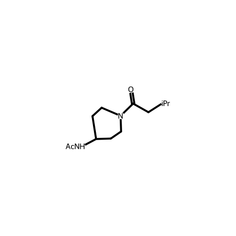 CC(=O)NC1CCN(C(=O)CC(C)C)CC1